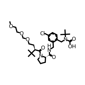 COCCOCOCC[C@@H](C(=O)N1CCC[C@H]1C(=O)NCc1cc(Cl)ccc1CN(C(=O)O)C(C)(C)C)C(C)(C)C